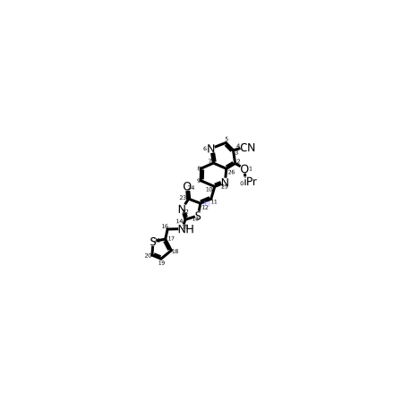 CC(C)Oc1c(C#N)cnc2ccc(/C=C3/SC(NCc4cccs4)=NC3=O)nc12